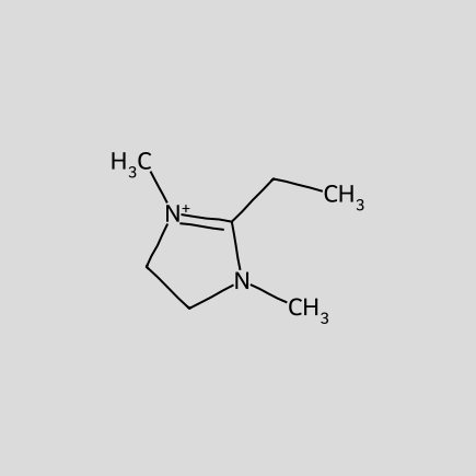 CCC1=[N+](C)CCN1C